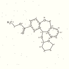 CCOC(=O)c1ccc2c(c1)C(OC1CCCCO1)c1ccccc1CO2